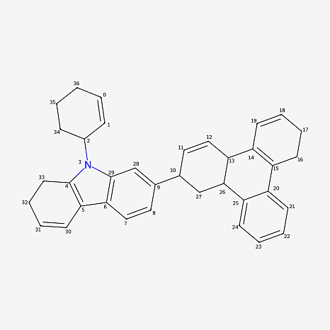 C1=CC(n2c3c(c4ccc(C5C=CC6C7=C(CCC=C7)c7ccccc7C6C5)cc42)C=CCC3)CCC1